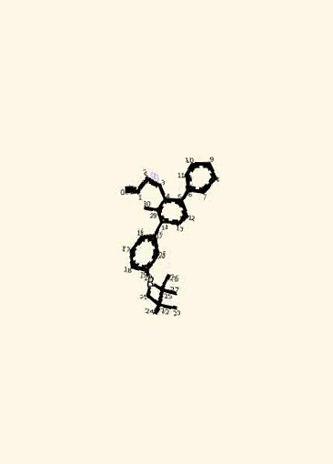 C=C/C=C\c1c(-c2ccccc2)ccc(-c2cccc(B3CC(C)(C)C3(C)C)c2)c1C